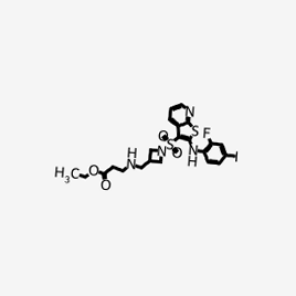 CCOC(=O)CCNCC1CN(S(=O)(=O)c2c(Nc3ccc(I)cc3F)sc3ncccc23)C1